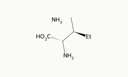 CC[C@H](C)[C@H](N)C(=O)O.N